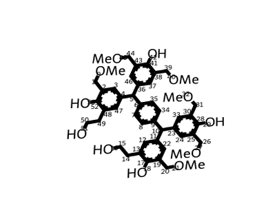 COCc1cc(C(c2ccc(C(c3cc(CCO)c(O)c(COC)c3)c3cc(COC)c(O)c(COC)c3)cc2)c2cc(COC)c(O)c(COC)c2)cc(CCO)c1O